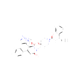 CC(CC(=O)N1CCC(O)(Cn2cc(-c3ccnn3C)c(-c3ccccc3)cc2=O)CC1)c1ccccc1